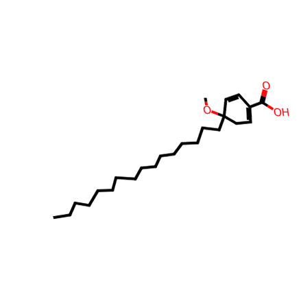 CCCCCCCCCCCCCCCCC1(OC)C=CC(C(=O)O)=CC1